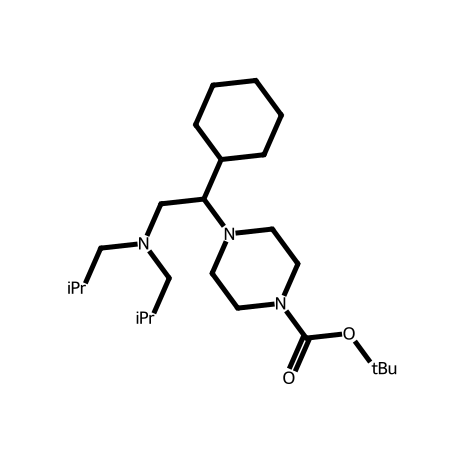 CC(C)CN(CC(C)C)CC(C1CCCCC1)N1CCN(C(=O)OC(C)(C)C)CC1